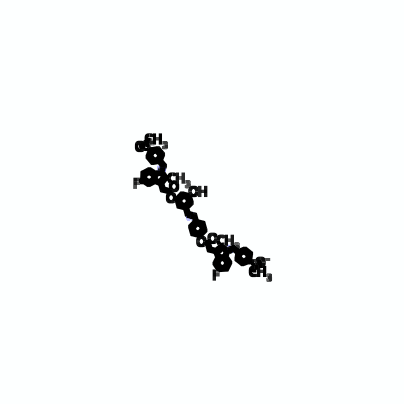 CC1=C(CC(=O)Oc2ccc(/C=C/c3cc(O)cc(OC(=O)CC4=C(C)/C(=C/c5ccc([S+](C)[O-])cc5)c5ccc(F)cc54)c3)cc2)c2cc(F)ccc2/C1=C\c1ccc([S+](C)[O-])cc1